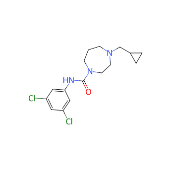 O=C(Nc1cc(Cl)cc(Cl)c1)N1CCCN(CC2CC2)CC1